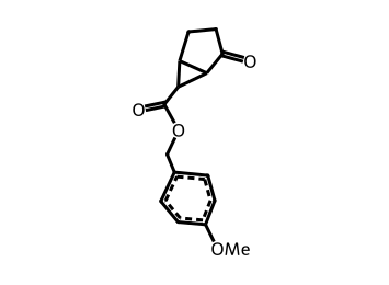 COc1ccc(COC(=O)C2C3CCC(=O)C32)cc1